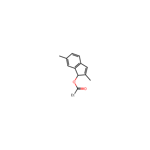 CCC(=O)OC1C(C)=Cc2ccc(C)cc21